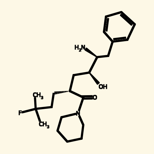 CC(C)(F)CC[C@H](C[C@H](O)[C@@H](N)Cc1ccccc1)C(=O)N1CCCCC1